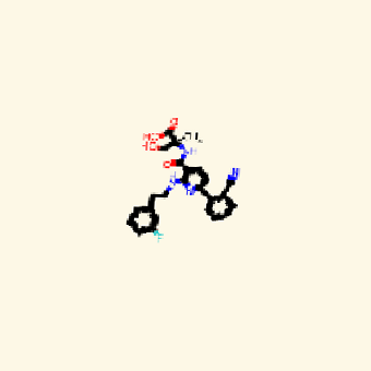 C[C@@](CO)(NC(=O)c1ccc(-c2ccccc2C#N)nc1NCCc1cccc(F)c1)C(=O)O